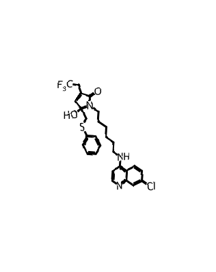 O=C1C(CC(F)(F)F)=CC(O)(CSc2ccccc2)N1CCCCCCNc1ccnc2cc(Cl)ccc12